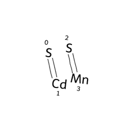 [S]=[Cd].[S]=[Mn]